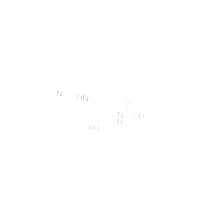 CC(=O)NCCc1c[nH]c2c(C#N)ccc(P)c12